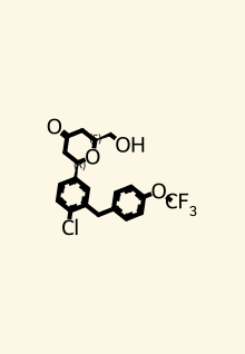 O=C1C[C@@H](CO)O[C@@H](c2ccc(Cl)c(Cc3ccc(OC(F)(F)F)cc3)c2)C1